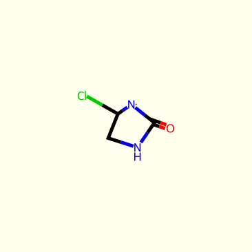 O=C1[N]C(Cl)CN1